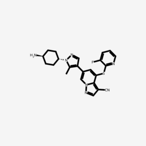 Cc1c(-c2cc(Sc3ncccc3F)c3c(C#N)cnn3c2)cnn1[C@H]1CC[C@H](N)CC1